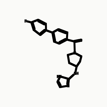 O=C(c1ccc(-c2ccc(F)cc2)cc1)N1CCC(Nc2ncc[nH]2)CC1